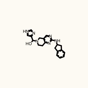 OC(c1c[nH]cn1)N1CCc2nc(NC3Cc4ccccc4C3)ncc2C1